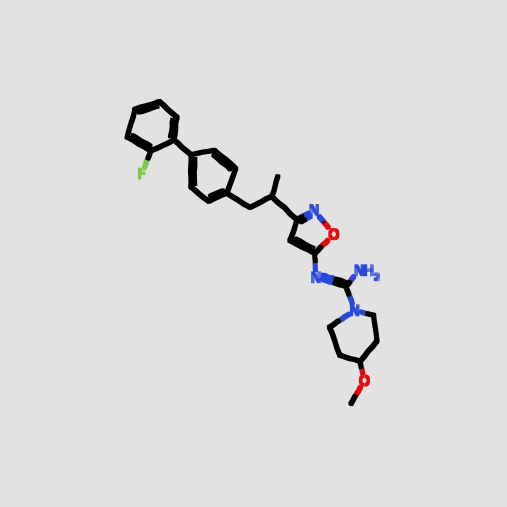 COC1CCN(C(N)=Nc2cc(C(C)Cc3ccc(-c4ccccc4F)cc3)no2)CC1